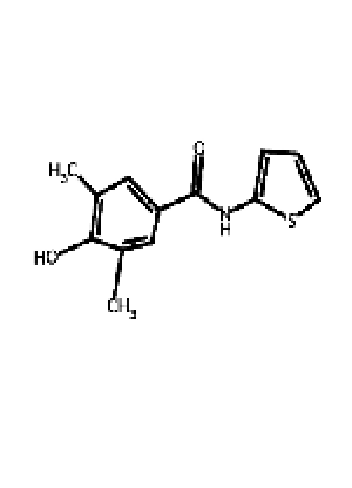 Cc1cc(C(=O)Nc2cccs2)cc(C)c1O